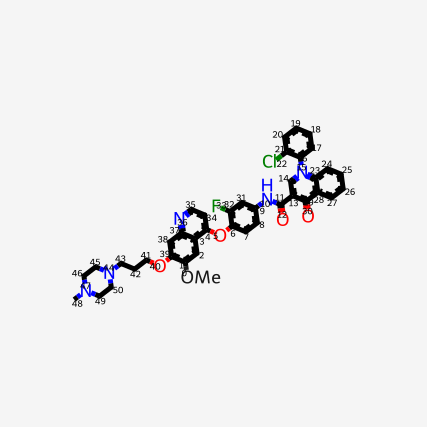 COc1cc2c(Oc3ccc(NC(=O)c4cn(-c5ccccc5Cl)c5ccccc5c4=O)cc3F)ccnc2cc1OCCCN1CCN(C)CC1